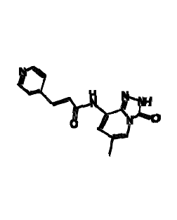 Cc1cc(NC(=O)/C=C/c2ccncc2)c2n[nH]c(=O)n2c1